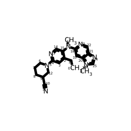 CCc1cc(N2CCCC(C#N)C2)ncc1N(C)c1cc2c(cn1)ncn2C